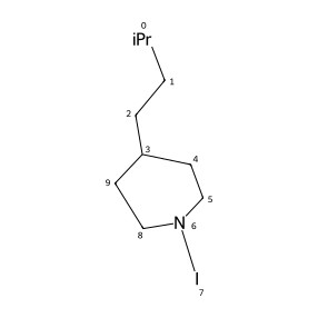 CC(C)CCC1CCN(I)CC1